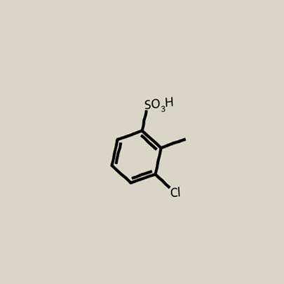 Cc1c(Cl)cccc1S(=O)(=O)O